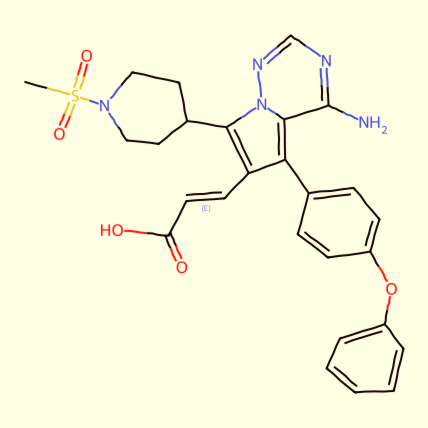 CS(=O)(=O)N1CCC(c2c(/C=C/C(=O)O)c(-c3ccc(Oc4ccccc4)cc3)c3c(N)ncnn23)CC1